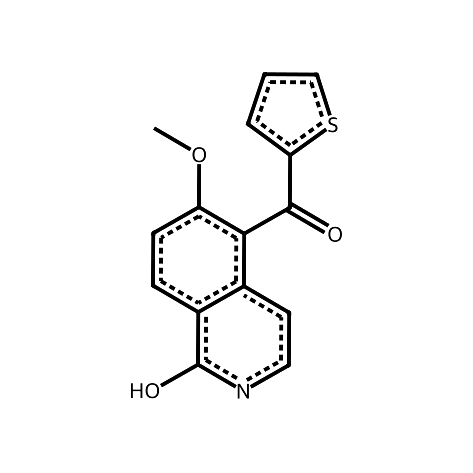 COc1ccc2c(O)nccc2c1C(=O)c1cccs1